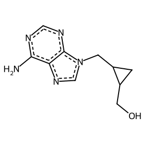 Nc1ncnc2c1ncn2CC1CC1CO